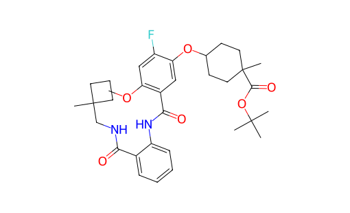 COc1cc(F)c(OC2CCC(C)(C(=O)OC(C)(C)C)CC2)cc1C(=O)Nc1ccccc1C(=O)NCC1(C)CCC1